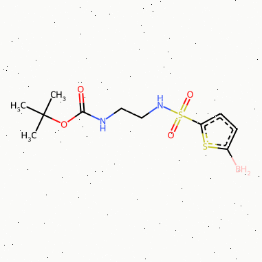 Bc1ccc(S(=O)(=O)NCCNC(=O)OC(C)(C)C)s1